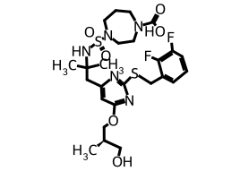 C[C@H](CO)COc1cc(CC(C)(C)NS(=O)(=O)N2CCCN(C(=O)O)CC2)nc(SCc2cccc(F)c2F)n1